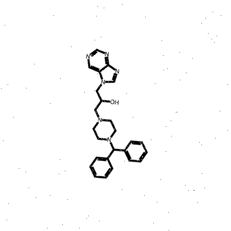 OC(CN1CCN(C(c2ccccc2)c2ccccc2)CC1)Cn1cnc2ncncc21